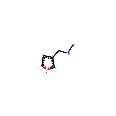 CC(C)NCc1ccoc1